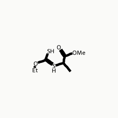 CCOC(S)=[SH]C(C)C(=O)OC